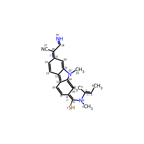 C/C=C(\C)N(C)/C(S)=c1/ccc2c3cc/c(=C(\C#N)C=N)cc3n(C)c2c1